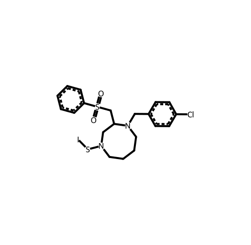 O=S(=O)(CC1CN(SI)CCCCN1Cc1ccc(Cl)cc1)c1ccccc1